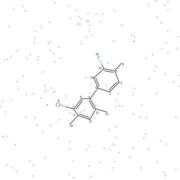 Cc1ccc(-c2cc(Cl)c(C)cc2C)cc1F